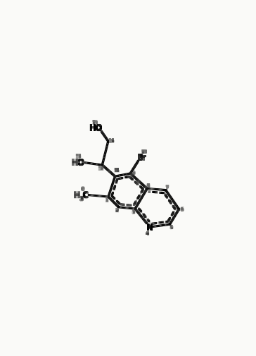 Cc1cc2ncccc2c(Br)c1C(O)CO